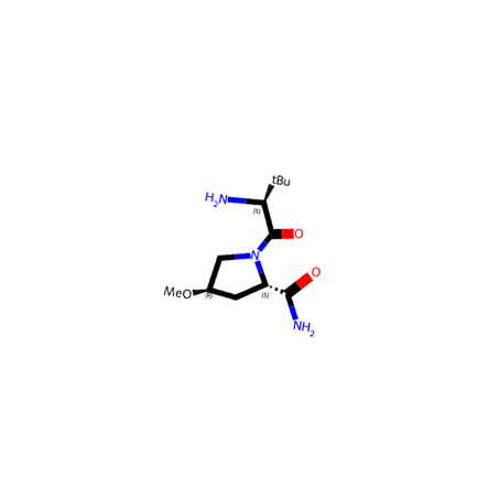 CO[C@@H]1C[C@@H](C(N)=O)N(C(=O)[C@@H](N)C(C)(C)C)C1